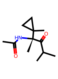 CC(=O)N[C@@](C)(C(=O)C(C)C)C1(C)CC1